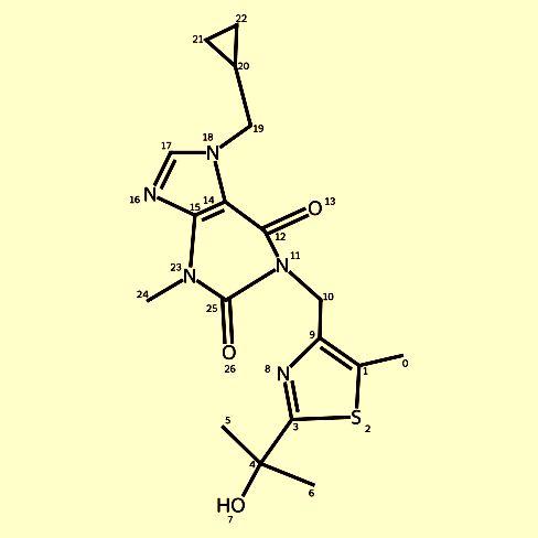 Cc1sc(C(C)(C)O)nc1Cn1c(=O)c2c(ncn2CC2CC2)n(C)c1=O